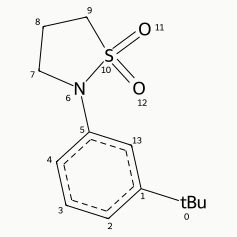 CC(C)(C)c1cccc(N2CCCS2(=O)=O)c1